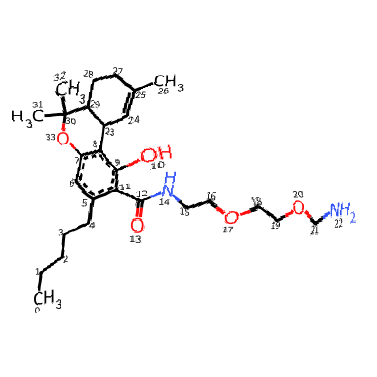 CCCCCc1cc2c(c(O)c1C(=O)NCCOCCOCN)C1C=C(C)CCC1C(C)(C)O2